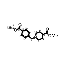 COC(=O)C1CCN(Cc2ccc(C(=O)OC(C)(C)C)cc2)CC1